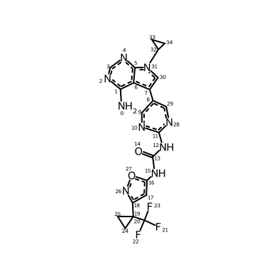 Nc1ncnc2c1c(-c1cnc(NC(=O)Nc3cc(C4(C(F)(F)F)CC4)no3)nc1)cn2C1CC1